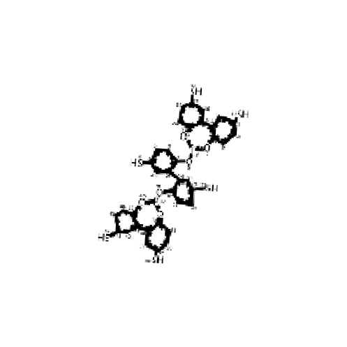 Sc1ccc(Op2oc3ccc(S)cc3c3cc(S)ccc3o2)c(-c2cc(S)ccc2Op2oc3ccc(S)cc3c3cc(S)ccc3o2)c1